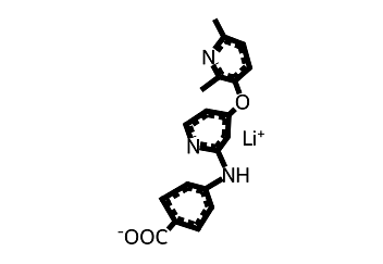 Cc1ccc(Oc2ccnc(Nc3ccc(C(=O)[O-])cc3)c2)c(C)n1.[Li+]